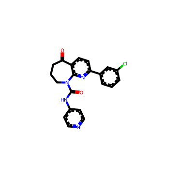 O=C1CCCN(C(=O)Nc2ccncc2)c2nc(-c3cccc(Cl)c3)ccc21